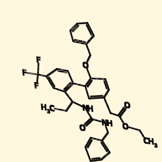 CCOC(=O)Cc1ccc(OCc2ccccc2)c(-c2ccc(C(F)(F)F)cc2C(CC)NC(=O)NCc2ccccc2)c1